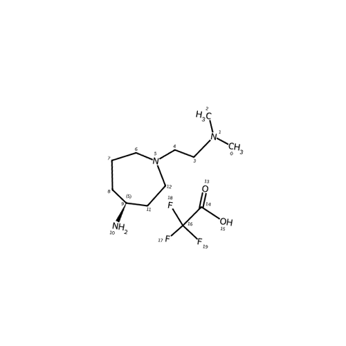 CN(C)CCN1CCC[C@H](N)CC1.O=C(O)C(F)(F)F